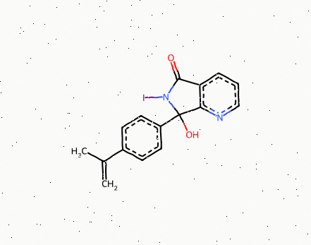 C=C(C)c1ccc(C2(O)c3ncccc3C(=O)N2I)cc1